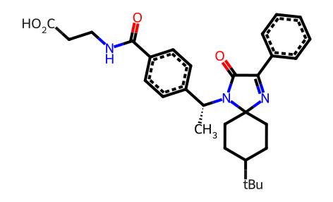 C[C@H](c1ccc(C(=O)NCCC(=O)O)cc1)N1C(=O)C(c2ccccc2)=NC12CCC(C(C)(C)C)CC2